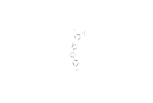 COC1(c2cccc(Cn3nc(-c4nc(-c5ccc(SC(F)(F)F)cc5)no4)cc3C)c2)CC1